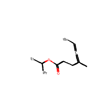 CCC(OC(=O)CCC(C)=C=CC(C)(C)C)C(C)C